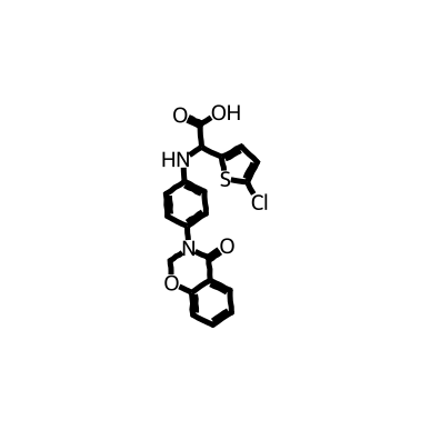 O=C(O)C(Nc1ccc(N2COc3ccccc3C2=O)cc1)c1ccc(Cl)s1